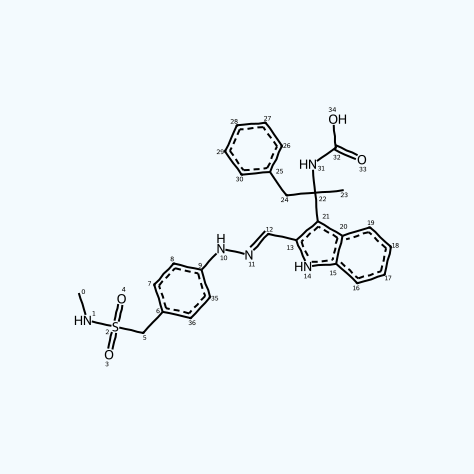 CNS(=O)(=O)Cc1ccc(NN=Cc2[nH]c3ccccc3c2C(C)(Cc2ccccc2)NC(=O)O)cc1